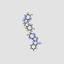 c1ccc2c(c1)[nH]c1nc3nc(-c4ccc5c(c4)sc4nc6nccnc6n45)cnc3n12